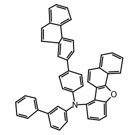 c1ccc(-c2cccc(N(c3ccc(-c4ccc5c(ccc6ccccc65)c4)cc3)c3cccc4oc5c6ccccc6ccc5c34)c2)cc1